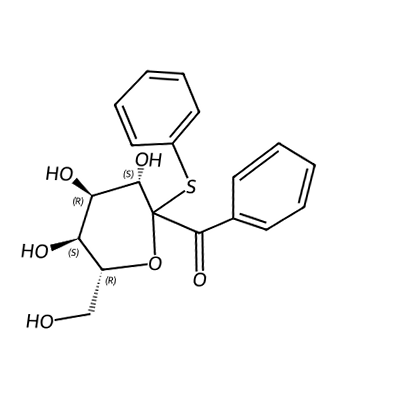 O=C(c1ccccc1)C1(Sc2ccccc2)O[C@H](CO)[C@@H](O)[C@@H](O)[C@@H]1O